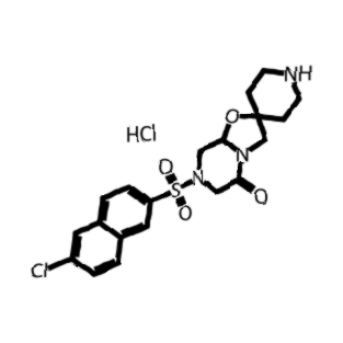 Cl.O=C1CN(S(=O)(=O)c2ccc3cc(Cl)ccc3c2)CC2OC3(CCNCC3)CN12